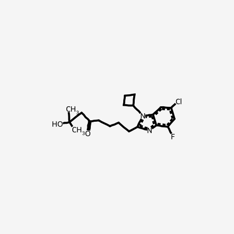 CC(C)(O)CC(=O)CCCCc1nc2c(F)cc(Cl)cc2n1C1CCC1